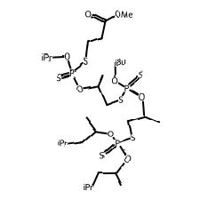 CCC(C)OP(=S)(OC(C)CSP(=S)(OC(C)CC(C)C)OC(C)CC(C)C)SCC(C)OP(=S)(OC(C)C)SCCC(=O)OC